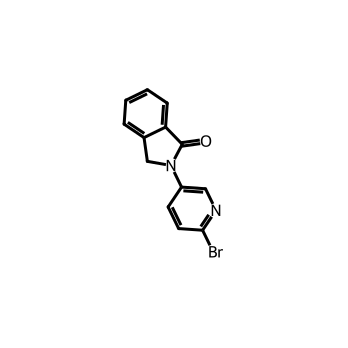 O=C1c2ccccc2CN1c1ccc(Br)nc1